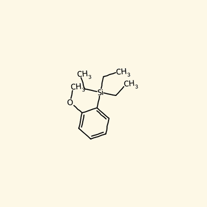 CC[Si](CC)(CC)c1ccccc1OC